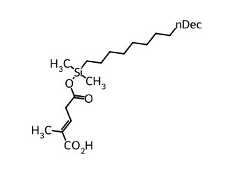 CCCCCCCCCCCCCCCCCC[Si](C)(C)OC(=O)CC=C(C)C(=O)O